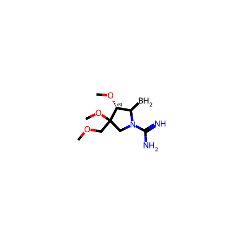 BC1[C@@H](OC)C(COC)(OC)CN1C(=N)N